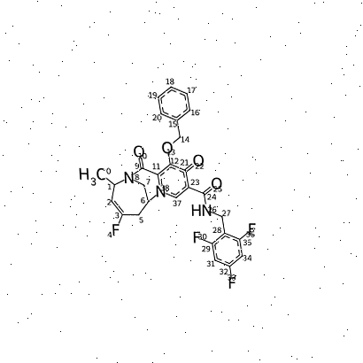 CC1C=C(F)CC2CN1C(=O)c1c(OCc3ccccc3)c(=O)c(C(=O)NCc3c(F)cc(F)cc3F)cn12